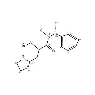 C[C@H](c1ccccc1)N(C)C(=O)C(CBr)CC1OCCO1